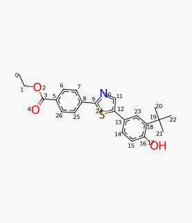 CCOC(=O)c1ccc(-c2ncc(-c3ccc(O)c(C(C)(C)C)c3)s2)cc1